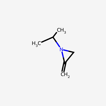 C=C1CN1C(C)C